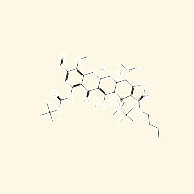 CCCCOc1noc2c1C(=O)[C@@]1(O[Si](C)(C)C(C)(C)C)C(O)=C3C(=O)c4c(OC(=O)OC(C)(C)C)cc(C=O)c(OC)c4C[C@H]3C[C@H]1[C@@H]2N(C)C